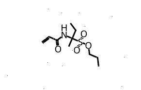 C=CC(=O)NC(C)(CC)S(=O)(=O)OCCC